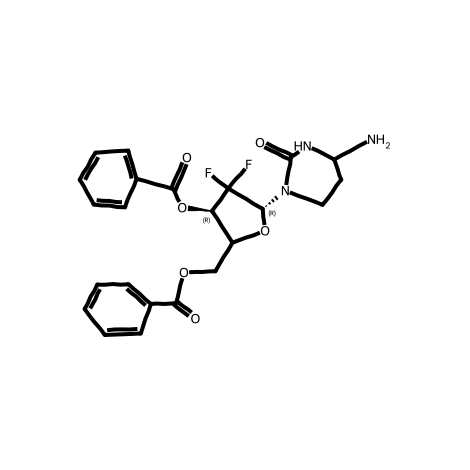 NC1CCN([C@@H]2OC(COC(=O)c3ccccc3)[C@@H](OC(=O)c3ccccc3)C2(F)F)C(=O)N1